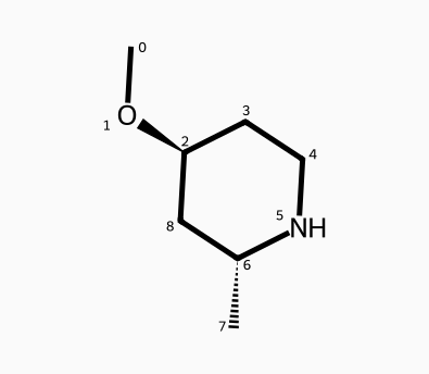 CO[C@H]1CCN[C@H](C)C1